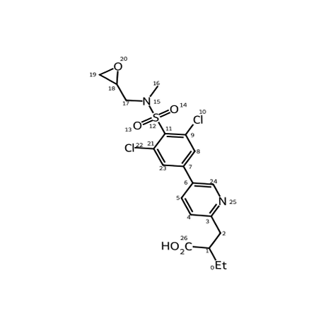 CCC(Cc1ccc(-c2cc(Cl)c(S(=O)(=O)N(C)CC3CO3)c(Cl)c2)cn1)C(=O)O